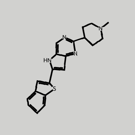 CN1CCC(c2ncc3[nH]c(-c4cc5ccccc5s4)cc3n2)CC1